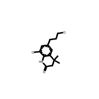 CC1(C)CC(=O)Nc2c(Cl)cc(CCCCl)cc21